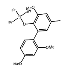 COc1ccc(-c2cc(C)cc(OC)c2O[Si](C(C)C)(C(C)C)C(C)C)c(OC)c1